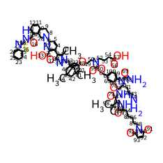 Cc1c(-c2ccc(N3CCc4cccc(C(=O)Nc5nc6ccccc6s5)c4C3)nc2C(=O)O)cnn1CC12CC3(C)CC(C)(C1)CC(OCCN(CCCC(=O)O)C(=O)OCc1ccc(N(C(N)=O)[C@@H](CCCN)C(=O)NC(=O)[C@@H](NC(=O)CCCCCN4C(=O)C=CC4=O)C(C)C)cc1)(C3)C2